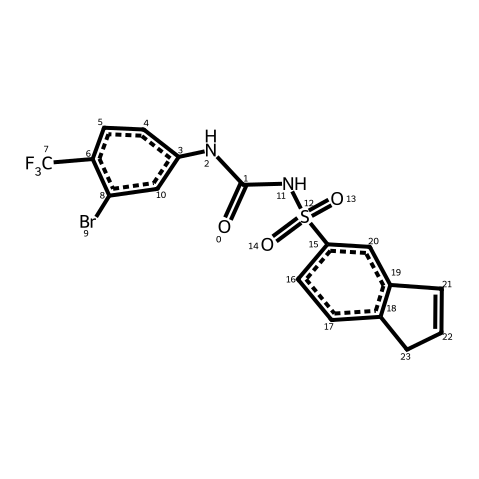 O=C(Nc1ccc(C(F)(F)F)c(Br)c1)NS(=O)(=O)c1ccc2c(c1)C=CC2